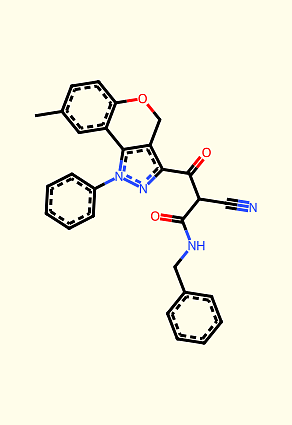 Cc1ccc2c(c1)-c1c(c(C(=O)C(C#N)C(=O)NCc3ccccc3)nn1-c1ccccc1)CO2